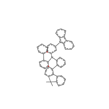 CC1(C)c2ccccc2-c2c(-c3ccccc3N(c3cccc(-n4c5ccccc5c5ccccc54)c3)c3ccccc3-c3ccccc3)cccc21